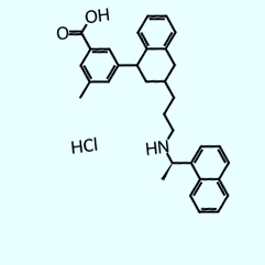 Cc1cc(C(=O)O)cc(C2CC(CCCN[C@H](C)c3cccc4ccccc34)Cc3ccccc32)c1.Cl